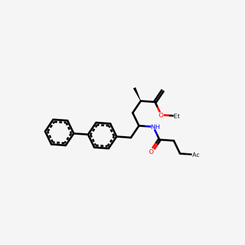 C=C(OCC)[C@H](C)CC(Cc1ccc(-c2ccccc2)cc1)NC(=O)CCC(C)=O